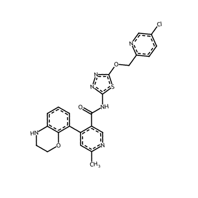 Cc1cc(-c2cccc3c2OCCN3)c(C(=O)Nc2nnc(OCc3ccc(Cl)cn3)s2)cn1